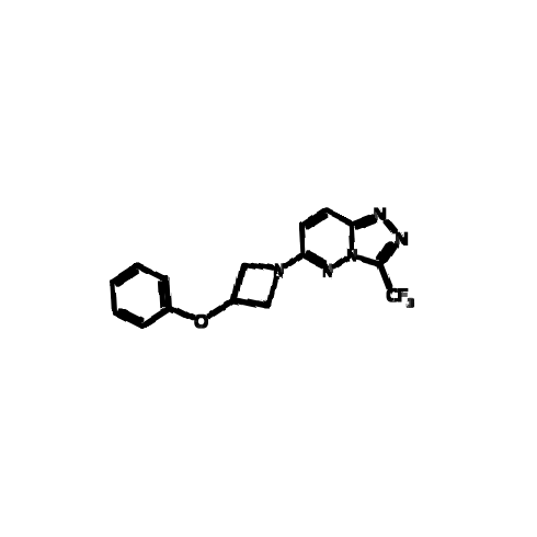 FC(F)(F)c1nnc2ccc(N3CC(Oc4ccccc4)C3)nn12